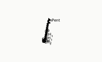 CCCCCC1CC1CC1CC1CCCCCCCC(=O)OC/C=C(C)/C=C/C=C(C)/C=C/C1=C(C)CCCC1(C)C